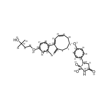 C=C1CC[C@@H](Oc2ccc(N3CC(=O)NS3(=O)=O)cc2)C/C=C\C=C/1c1ccc(OCCC(C)(C)O)nc1C